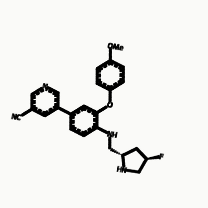 COc1ccc(Oc2cc(-c3cncc(C#N)c3)ccc2NC[C@@H]2C[C@@H](F)CN2)cc1